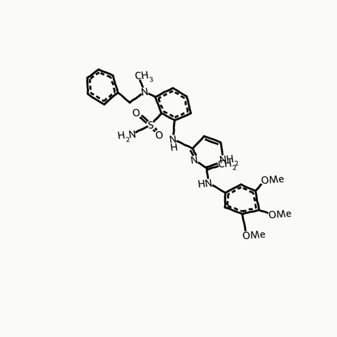 C=C(/N=C(\C=C/N)Nc1cccc(N(C)Cc2ccccc2)c1S(N)(=O)=O)Nc1cc(OC)c(OC)c(OC)c1